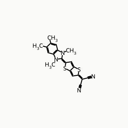 Cc1cc2c(cc1C)N(C)C(=c1cc3sc(=C(C#N)C#N)cc3s1)N2C